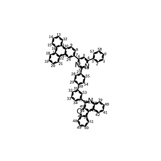 c1ccc(-c2cc(-c3ccc4c5ccccc5c5ccccc5c4c3)nc(-c3ccc(-c4cccc(-c5nc6ccccc6c6c5oc5ccccc56)c4)cc3)n2)cc1